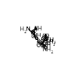 CC1(C)[C@H](NC(=O)/C(=N\O[C@@H](COc2ccc(C(=O)Nc3cn(CCCN)[n+](CC4CNC4)c3)cc2)C(=O)O)c2csc(N)n2)C(=O)N1OS(=O)(=O)[O-]